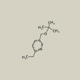 CCc1ccc(COC(C)(C)C)cn1